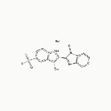 O=C1C(c2[nH]c3ccc(S(=O)(=O)[O-])cc3c2O)=Nc2ccccc21.[Na+]